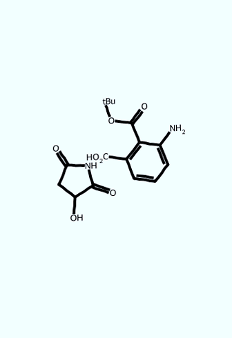 CC(C)(C)OC(=O)c1c(N)cccc1C(=O)O.O=C1CC(O)C(=O)N1